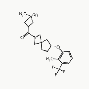 Cc1c(O[C@@H]2CCC3(C2)CN(C(=O)C2CC(C)(O)C2)C3)cccc1C(F)(F)F